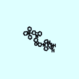 c1ccc([Si](c2ccccc2)(c2ccccc2)c2ccc3c4ccccc4n(-c4ccc5oc6ccc(N7c8ccccc8C8(c9ccccc97)C7C[C@H]9C[C@@H](C7)C[C@@H]8C9)cc6c5c4)c3c2)cc1